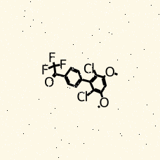 COc1cc(OC)c(Cl)c(-c2ccc(C(=O)C(F)(F)F)cc2)c1Cl